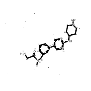 CC(=O)N1CCC(Nc2ncc(-c3cccc(CN(C)C(=O)CN)c3)cn2)CC1